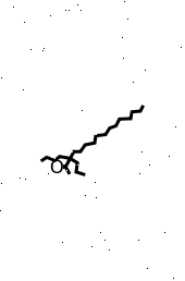 CCCCCCCCCCCCCC(CCC)(CCCC)C(C)=O